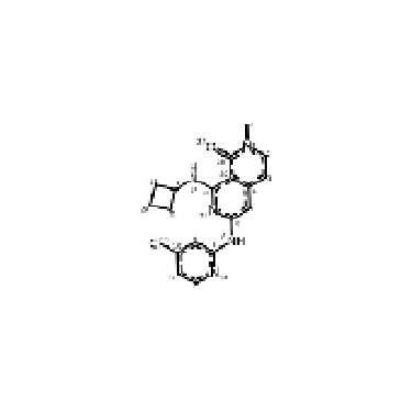 Cn1ccc2cc(Nc3cc(Cl)ccn3)nc(NC3CCC3)c2c1=O